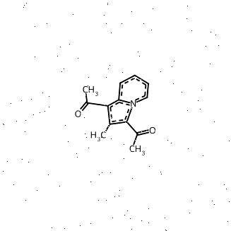 CC(=O)c1c(C)c(C(C)=O)n2ccccc12